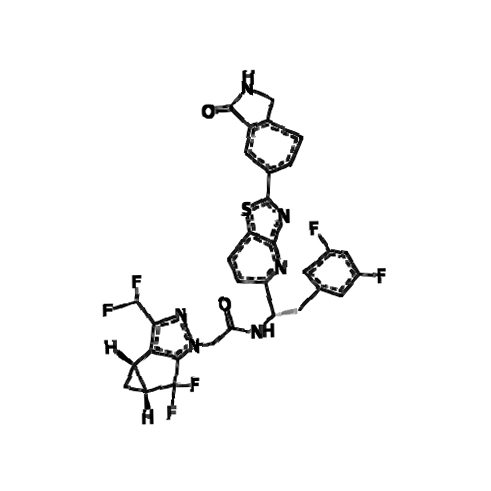 O=C(Cn1nc(C(F)F)c2c1C(F)(F)[C@@H]1C[C@H]21)N[C@@H](Cc1cc(F)cc(F)c1)c1ccc2sc(-c3ccc4c(c3)C(=O)NC4)nc2n1